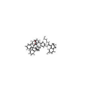 CCCCCN(Cc1ccc(-c2ccccc2-c2nnnn2C(c2ccccc2)(c2ccccc2)c2ccccc2)cc1)c1ncnc2ccc(C)cc12